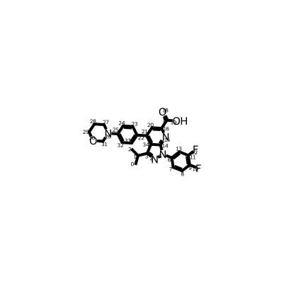 CC(C)c1nn(-c2ccc(F)c(F)c2)c2nc(C(=O)O)cc(-c3ccc(N4CCCOC4)cc3)c12